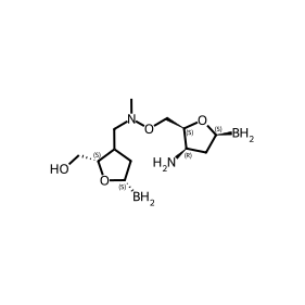 B[C@H]1CC(CN(C)OC[C@H]2O[C@@H](B)C[C@H]2N)[C@@H](CO)O1